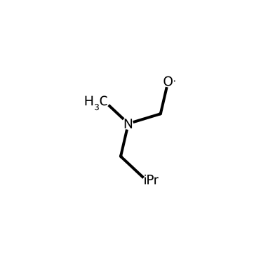 CC(C)CN(C)C[O]